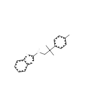 CC(C)(CNc1nc2ccccc2s1)c1ccc(F)cc1